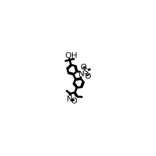 Cc1noc(C)c1-c1ccc2c(c1)c1ccc(C(C)(C)O)cc1n2S(C)(=O)=O